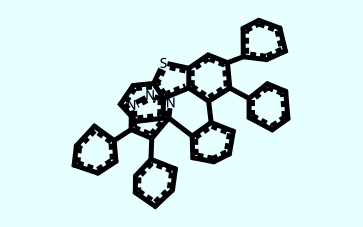 c1ccc(-c2cc3sc4ccccc4c3c(-c3ccccc3-c3nnnc(-c4ccccc4)c3-c3ccccc3)c2-c2ccccc2)cc1